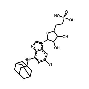 O=P(O)(O)CCC1OC(n2cnc3c(NC45CC6CC(CC(C6)C4)C5)nc(Cl)nc32)C(O)C1O